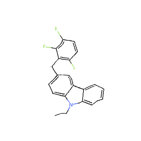 CCn1c2ccccc2c2cc([CH]c3c(F)ccc(F)c3F)ccc21